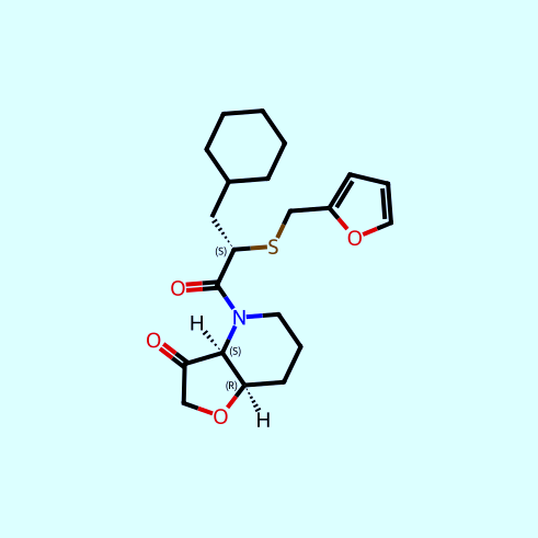 O=C1CO[C@@H]2CCCN(C(=O)[C@H](CC3CCCCC3)SCc3ccco3)[C@H]12